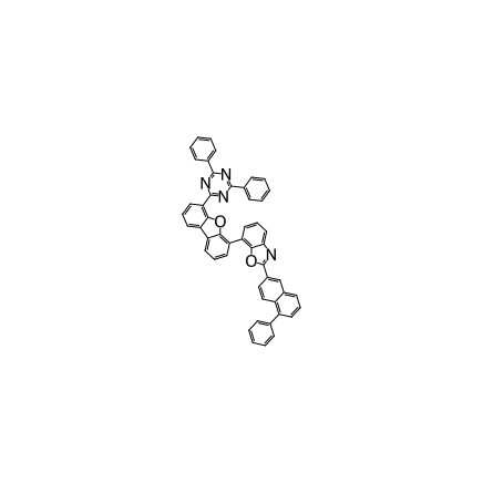 c1ccc(-c2nc(-c3ccccc3)nc(-c3cccc4c3oc3c(-c5cccc6nc(-c7ccc8c(-c9ccccc9)cccc8c7)oc56)cccc34)n2)cc1